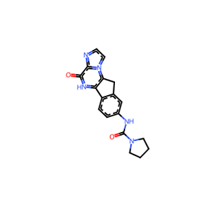 O=C(Nc1ccc2c(c1)Cc1c-2[nH]c(=O)c2nccn12)N1CCCC1